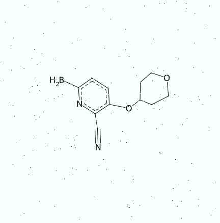 Bc1ccc(OC2CCOCC2)c(C#N)n1